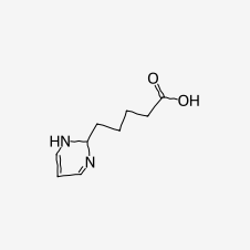 O=C(O)CCCCC1N=CC=CN1